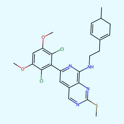 COc1cc(OC)c(Cl)c(-c2cc3cnc(SC)nc3c(NCCC3=CCC(C)C=C3)n2)c1Cl